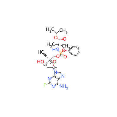 C#C[C@]1(CO[P@](=O)(NC(C)(C)C(=O)OC(C)C)Oc2ccccc2)O[C@@H](n2cnc3c(N)nc(F)nc32)C[C@@H]1O